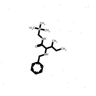 CCC(C)C(NCc1ccccc1)C(=O)NC[Si](C)(C)C